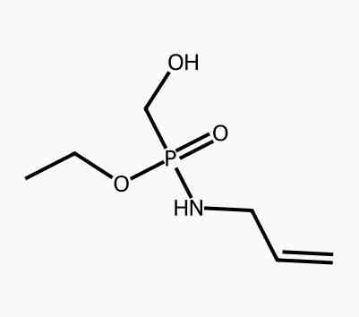 C=CCNP(=O)(CO)OCC